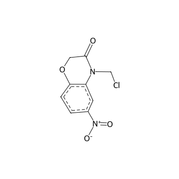 O=C1COc2ccc([N+](=O)[O-])cc2N1CCl